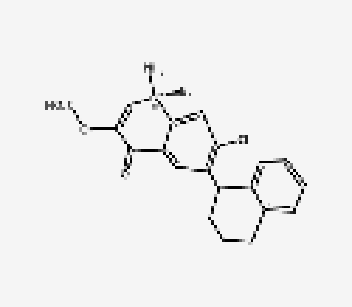 CC[N@+]1(N)C=C(OC(=O)O)C(=O)c2cc(C3CCCc4ccccc43)c(Cl)cc21